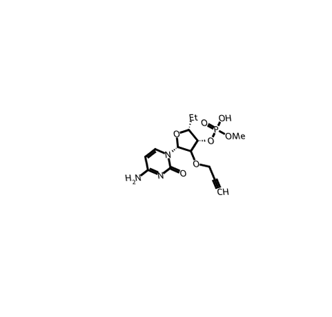 C#CCOC1[C@@H](OP(=O)(O)OC)[C@@H](CC)O[C@H]1n1ccc(N)nc1=O